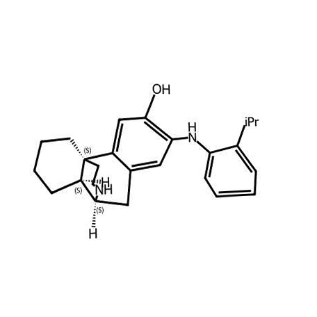 CC(C)c1ccccc1Nc1cc2c(cc1O)[C@]13CCCC[C@@H]1[C@H](C2)NCC3